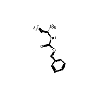 C=C[C@@H](NC(=O)OCc1ccccc1)C(C)(C)C